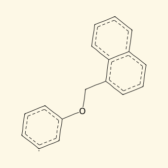 [c]1cccc(OCc2cccc3ccccc23)c1